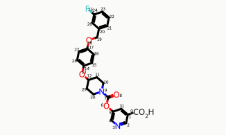 O=C(O)c1cncc(OC(=O)N2CCC(Oc3ccc(OCc4cccc(F)c4)cc3)CC2)c1